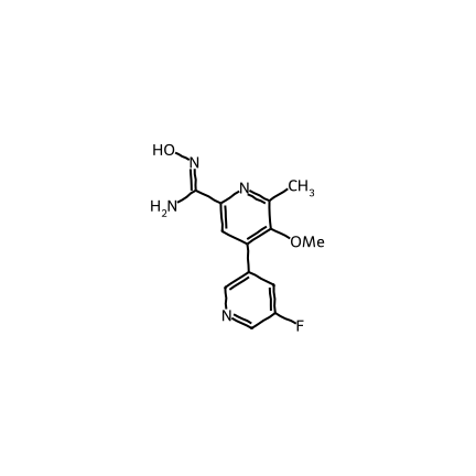 COc1c(-c2cncc(F)c2)cc(/C(N)=N/O)nc1C